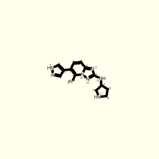 CC(C)c1c(-c2cn[nH]c2)ccc2nc(NC3CCNC3)nn12